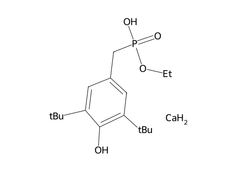 CCOP(=O)(O)Cc1cc(C(C)(C)C)c(O)c(C(C)(C)C)c1.[CaH2]